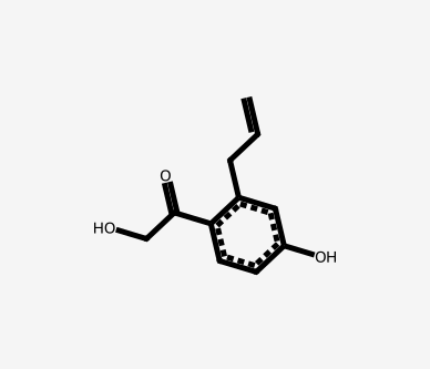 C=CCc1cc(O)ccc1C(=O)CO